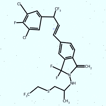 C=C1c2ccc(/C=C/C(c3cc(Cl)c(F)c(Cl)c3)C(F)(F)F)cc2C(F)(F)N1NC(C)CSCC(F)(F)F